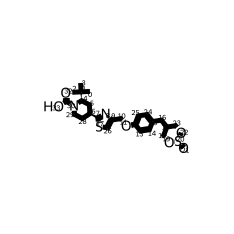 CC(C)(C)[C@@H]1C[C@@H](c2nc(COc3ccc(CC4COS(=O)OC4)cc3)cs2)CCN1C(=O)O